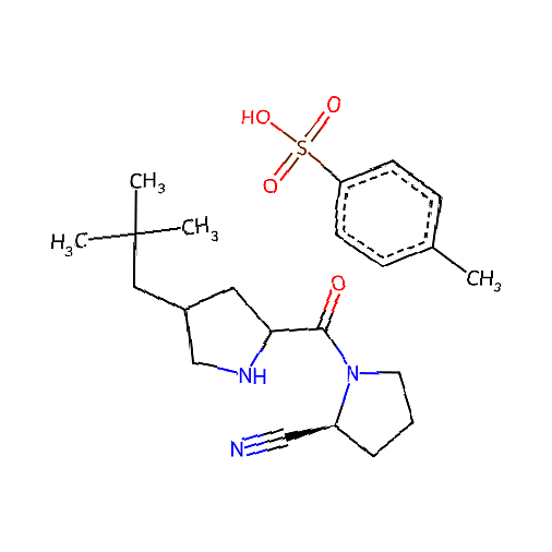 CC(C)(C)CC1CNC(C(=O)N2CCC[C@H]2C#N)C1.Cc1ccc(S(=O)(=O)O)cc1